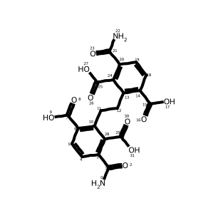 NC(=O)c1ccc(C(=O)O)c(CCc2c(C(=O)O)ccc(C(N)=O)c2C(=O)O)c1C(=O)O